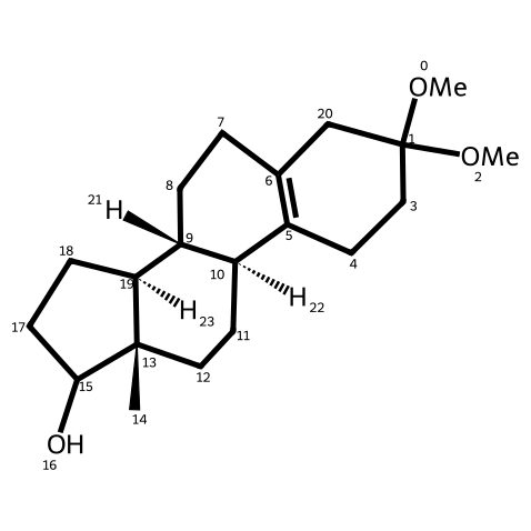 COC1(OC)CCC2=C(CC[C@@H]3[C@@H]2CC[C@]2(C)C(O)CC[C@@H]32)C1